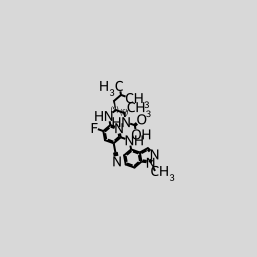 CC(C)C[C@H](Nc1nc(Nc2cccc3c2cnn3C)c(C#N)cc1F)[C@H](C)NC(=O)O